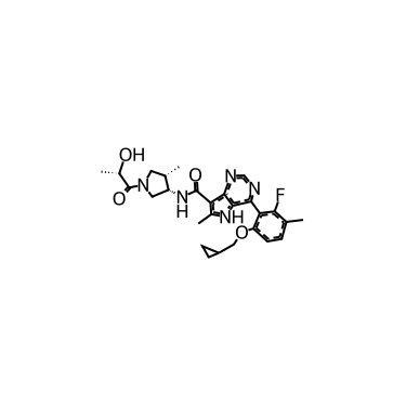 Cc1ccc(OCC2CC2)c(-c2ncnc3c(C(=O)N[C@@H]4CN(C(=O)[C@H](C)O)C[C@@H]4C)c(C)[nH]c23)c1F